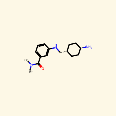 CC(C)N(C(=O)c1cccc(NC[C@H]2CC[C@H](N)CC2)c1)C(C)C